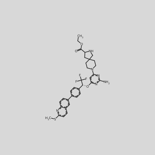 CCOC(=O)C1CC2(CCN(c3cc(O[C@H](c4ccc(-c5ccc6nc(SC)ccc6c5)cc4)C(F)(F)F)nc(N)n3)CC2)CN1